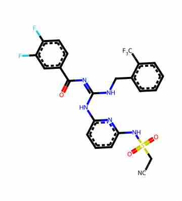 N#CCS(=O)(=O)Nc1cccc(N/C(=N\C(=O)c2ccc(F)c(F)c2)NCc2ccccc2C(F)(F)F)n1